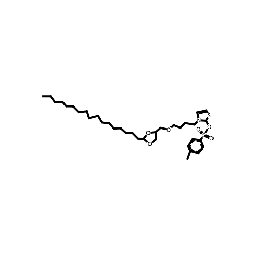 CCCCCCCCCCCCCCCCCC1OCC(COCCCCN2C=CSC2OS(=O)(=O)c2ccc(C)cc2)O1